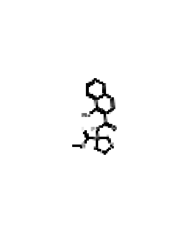 COC(=O)C1(NC(=O)c2ccc3ccccc3c2O)CCSC1